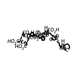 N=C(CCCSC1CC(=O)N(CCCC(=O)C(NC(=O)CNC(=O)C(Cc2ccccc2)NC(=O)c2ccc(CC3CN(CC(=O)O)CCN(CC(=O)O)CCN(CC(=O)O)CCN3CC(=O)O)cc2)C(=O)O)C1=O)NC1CCCCCCCC1